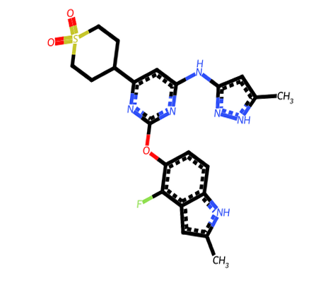 Cc1cc(Nc2cc(C3CCS(=O)(=O)CC3)nc(Oc3ccc4[nH]c(C)cc4c3F)n2)n[nH]1